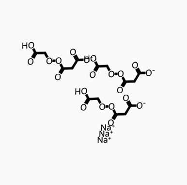 O=C([O-])CC(=O)OOCC(=O)O.O=C([O-])CC(=O)OOCC(=O)O.O=C([O-])CC(=O)OOCC(=O)O.[Na+].[Na+].[Na+]